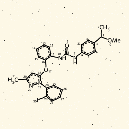 COC(C)c1ccc(NC(=O)Nc2ccccc2Oc2cc(C)nn2-c2ccccc2I)cc1